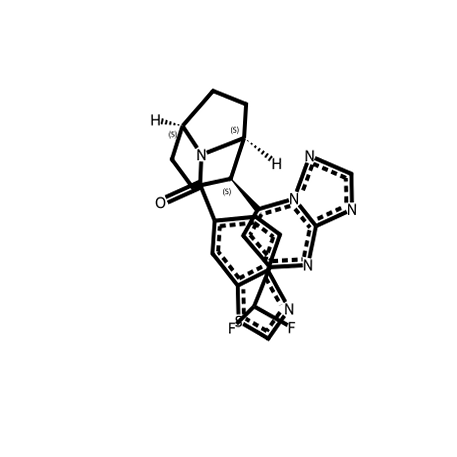 O=C(c1ccc2ncsc2c1)N1[C@H]2CC[C@H](c3cc(C(F)F)nc4ncnn34)[C@@H]1CC2